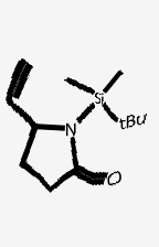 C=CC1CCC(=O)N1[Si](C)(C)C(C)(C)C